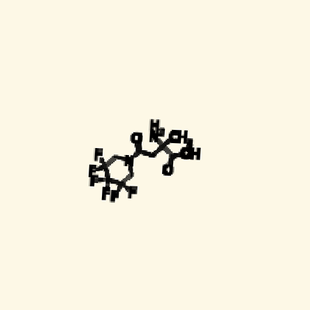 CC(N)(CC(=O)N1CC(F)(F)C(F)(F)C(F)(F)C1)C(=O)O